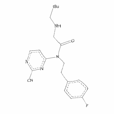 CC(C)(C)CNCC(=O)N(CCc1ccc(F)cc1)c1ccnc(C#N)n1